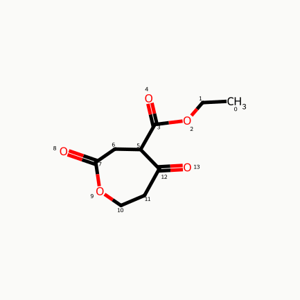 CCOC(=O)C1CC(=O)OCCC1=O